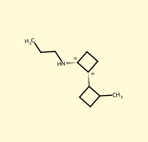 CCCN[C@@H]1CC[C@@H]1C1CCC1C